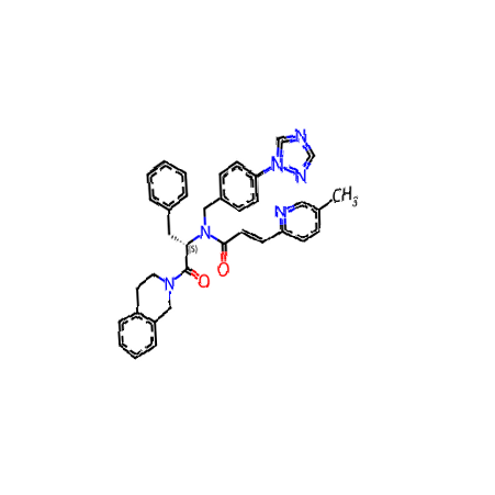 Cc1ccc(C=CC(=O)N(Cc2ccc(-n3cncn3)cc2)[C@@H](Cc2ccccc2)C(=O)N2CCc3ccccc3C2)nc1